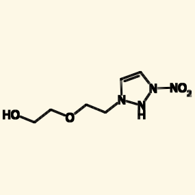 O=[N+]([O-])N1C=CN(CCOCCO)N1